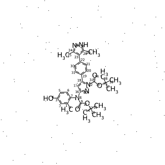 Cc1cc(O)ccc1N(C(=O)OC(C)(C)C)c1cc(-c2ccc(-c3c(C)n[nH]c3C)cc2)n(C(=O)OC(C)(C)C)n1